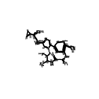 CC(Nc1cc(-c2cnc(NC(=O)C3CC3)cn2)cnc1C#N)C(=O)NC(C)C(F)F